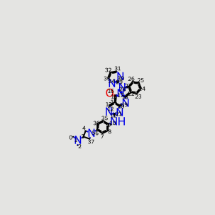 CN(C)C1CN(c2ccc(Nc3ncc4c(=O)n5c(nc4n3)c3ccccc3n5-c3ncccn3)cc2)C1